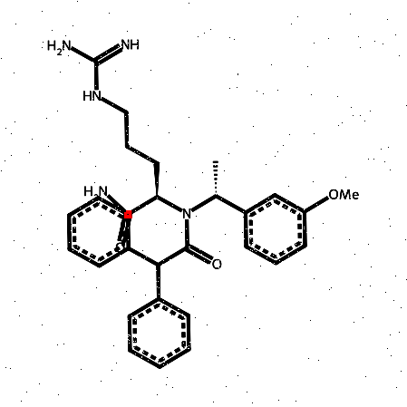 COc1cccc([C@@H](C)N(C(=O)C(c2ccccc2)c2ccccc2)[C@H](CCCNC(=N)N)C(N)=O)c1